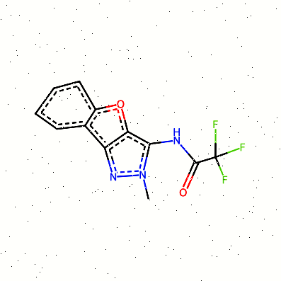 Cn1nc2c(oc3ccccc32)c1NC(=O)C(F)(F)F